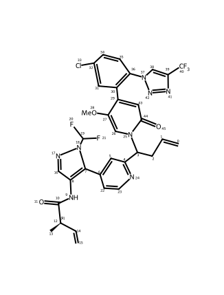 C=CCC(c1cc(-c2c(NC(=O)[C@H](C)C=C)cnn2C(F)F)ccn1)n1cc(OC)c(-c2cc(Cl)ccc2-n2cc(C(F)(F)F)nn2)cc1=O